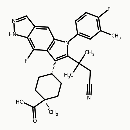 Cc1cc(-n2c(C(C)(C)CC#N)c([C@H]3CC[C@](C)(C(=O)O)CC3)c3c(F)c4[nH]ncc4cc32)ccc1F